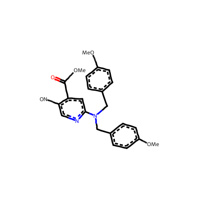 COC(=O)c1cc(N(Cc2ccc(OC)cc2)Cc2ccc(OC)cc2)ncc1N=O